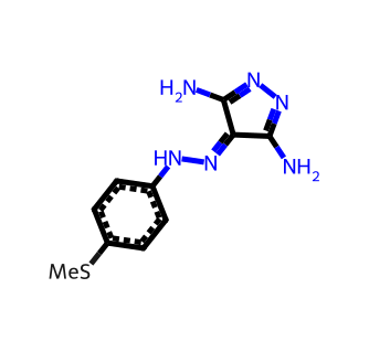 CSc1ccc(NN=C2C(N)=NN=C2N)cc1